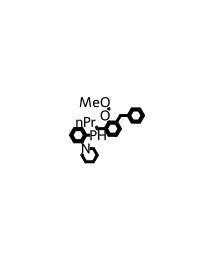 CCCC(Pc1ccccc1N1CCCCC1)c1cccc(Cc2ccccc2)c1OCOC